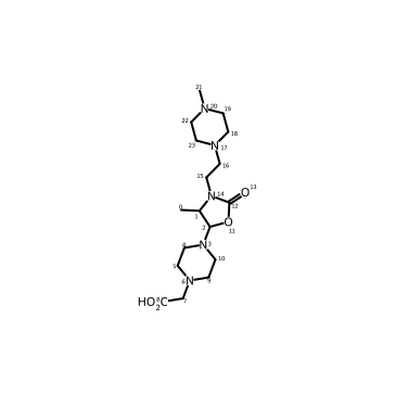 CC1C(N2CCN(CC(=O)O)CC2)OC(=O)N1CCN1CCN(C)CC1